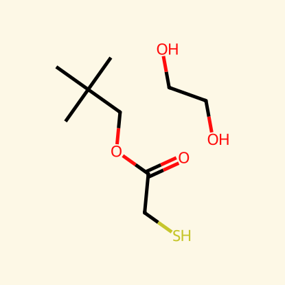 CC(C)(C)COC(=O)CS.OCCO